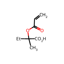 C=CC(=O)OC(C)(CC)C(=O)O